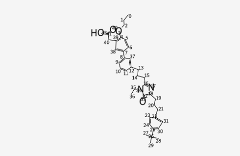 CCCOc1ccc(-c2cccc(CCCC3=NC(CCCc4ccc(C(C)(C)C)cc4)C(=O)N3CC)c2)cc1CC(=O)O